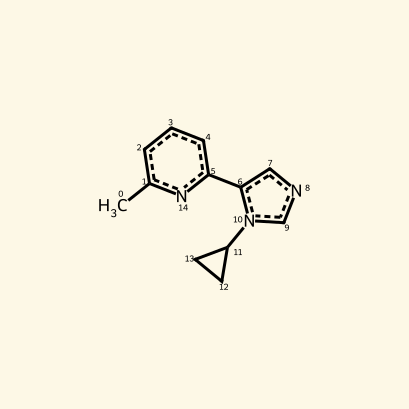 Cc1cccc(-c2cncn2C2CC2)n1